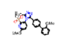 COc1ccc(-n2c(C)nnc2-c2ccc(-c3ccccc3OC)cc2)c(S(C)(=O)=O)n1